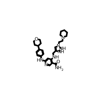 NC(=O)c1cnc(Nc2ccc(C3CCOCC3)cc2)cc1NCC1=CN(CCN2CCCCC2)NN1